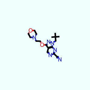 CC(C)(C)Cn1nc(OCCN2CCOCC2)c2cnc(C#N)nc21